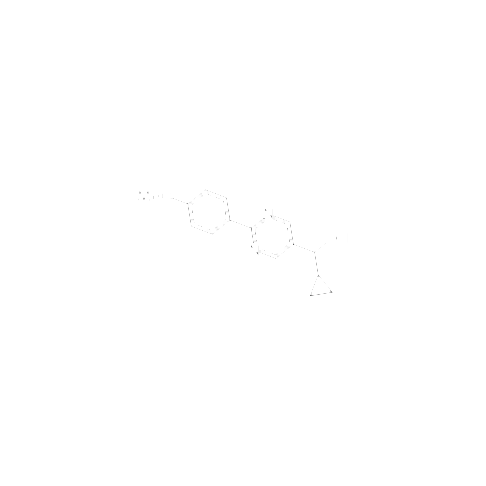 COc1ccc(-c2ncc(C(O)C3CC3)cn2)cc1